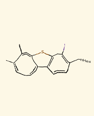 CCCCCCc1ccc2c(sc3c(C)c(C)ccc32)c1I